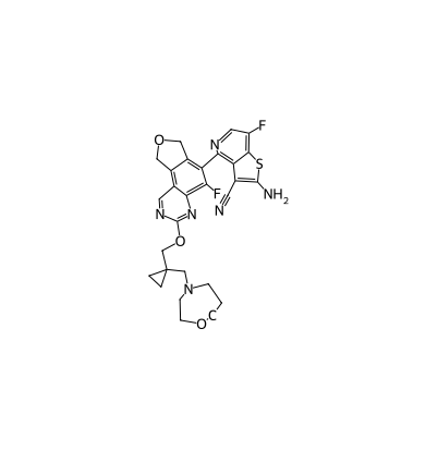 N#Cc1c(N)sc2c(F)cnc(-c3c4c(c5cnc(OCC6(CN7CCCOCC7)CC6)nc5c3F)COC4)c12